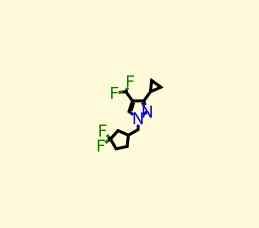 FC(F)c1cn(CC2CCC(F)(F)C2)nc1C1CC1